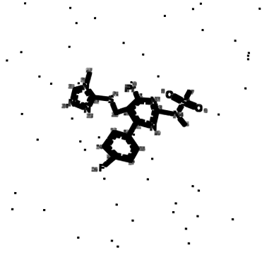 CC(C)c1nc(N(C)S(C)(=O)=O)nc(-c2ccc(F)cc2)c1CSc1nncn1C